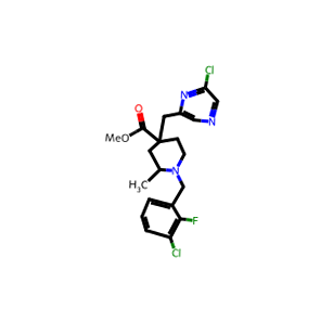 COC(=O)C1(Cc2cncc(Cl)n2)CCN(Cc2cccc(Cl)c2F)C(C)C1